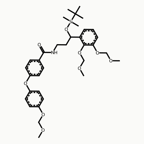 COCOc1ccc(Oc2ccc(C(=O)NCCC(O[Si](C)(C)C(C)(C)C)c3cccc(OCOC)c3OCOC)cc2)cc1